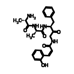 C[C@H](N)C(=O)N[C@@H](C)C(=O)N[C@@H](Cc1ccccc1)C(=O)CNC(=O)/C=C\c1ccccc1O